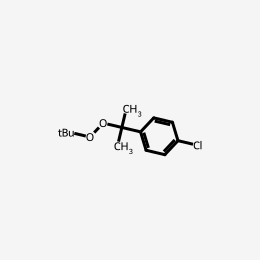 CC(C)(C)OOC(C)(C)c1ccc(Cl)cc1